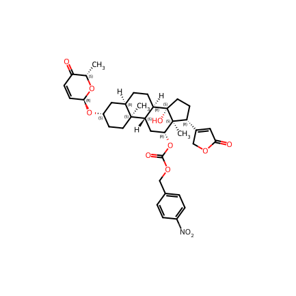 C[C@@H]1O[C@@H](O[C@H]2CC[C@@]3(C)[C@H](CC[C@@H]4[C@@H]3C[C@@H](OC(=O)OCc3ccc([N+](=O)[O-])cc3)[C@]3(C)[C@@H](C5=CC(=O)OC5)CC[C@]43O)C2)C=CC1=O